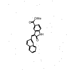 COC(=O)c1ccc2c(c1)C(=Cc1ccc3ccccc3c1)C(=O)N2